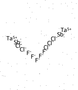 [Cl-].[Cl-].[Cl-].[Cl-].[Cl-].[F-].[F-].[F-].[F-].[F-].[Sb].[Sb].[Ta+5].[Ta+5]